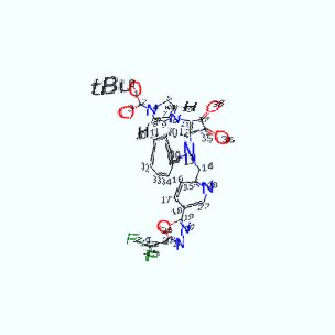 CC(C)(C)OC(=O)N1C[C@@H]2C[C@H]1CN2c1c(N(Cc2ccc(-c3nnc(C(F)F)o3)cn2)c2ccccc2)c(=O)c1=O